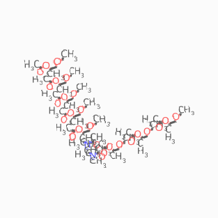 CC(=O)N(C)C.CC(=O)N(C)C.CCOCC(C)OC(C)=O.CCOCC(C)OC(C)=O.CCOCC(C)OC(C)=O.CCOCC(C)OC(C)=O.CCOCC(C)OC(C)=O.CCOCC(C)OC(C)=O.CCOCC(C)OC(C)=O.CCOCC(C)OC(C)=O